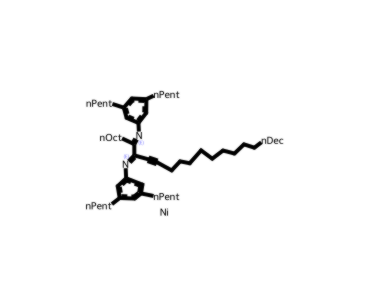 CCCCCCCCCCCCCCCCCCCC#CC(=N\c1cc(CCCCC)cc(CCCCC)c1)/C(CCCCCCCC)=N/c1cc(CCCCC)cc(CCCCC)c1.[Ni]